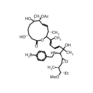 Bc1ccc(CNC([C@H]2O[C@@H]2[C@H](C)[C@H](CC)OC)C(C)(O)/C=C/C=C(\C)C2OC(=O)C[C@H](O)CC[C@@](C)(O)[C@@H](OC(C)=O)/C=C/[C@@H]2C)cc1